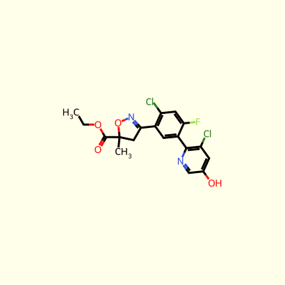 CCOC(=O)C1(C)CC(c2cc(-c3ncc(O)cc3Cl)c(F)cc2Cl)=NO1